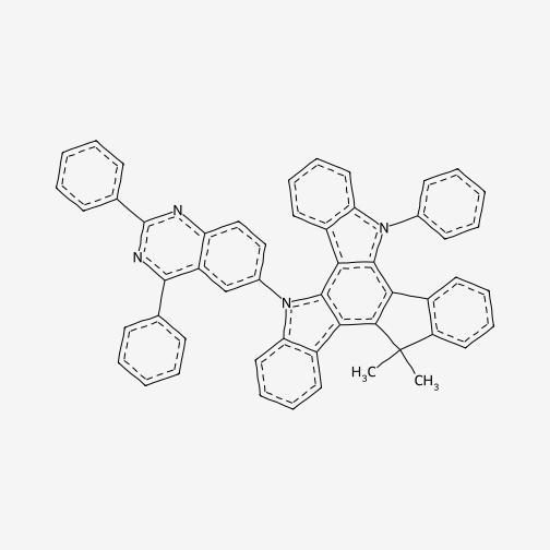 CC1(C)c2ccccc2-c2c1c1c3ccccc3n(-c3ccc4nc(-c5ccccc5)nc(-c5ccccc5)c4c3)c1c1c3ccccc3n(-c3ccccc3)c21